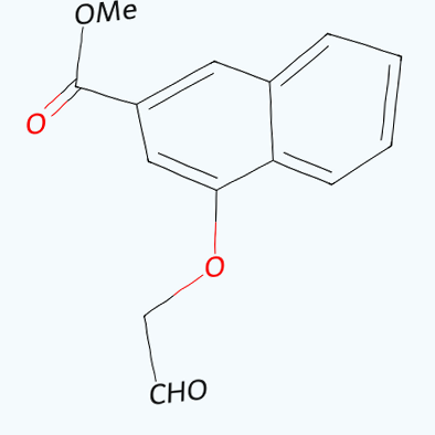 COC(=O)c1cc(OCC=O)c2ccccc2c1